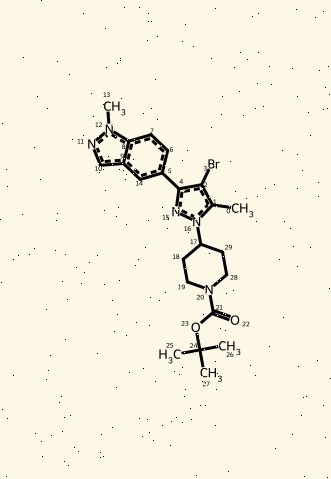 Cc1c(Br)c(-c2ccc3c(cnn3C)c2)nn1C1CCN(C(=O)OC(C)(C)C)CC1